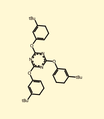 CC(C)(C)C1=CC(Oc2nc(OC3=CCCC(C(C)(C)C)=C3)nc(OC3=CCCC(C(C)(C)C)=C3)n2)=CCC1